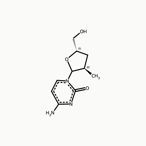 C[C@@H]1C[C@@H](CO)OC1n1ccc(N)nc1=O